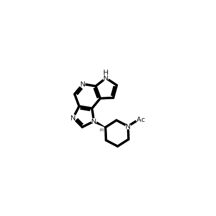 CC(=O)N1CCC[C@@H](n2cnc3cnc4[nH]ccc4c32)C1